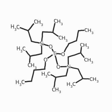 CCCC[O][Ti]([O]CCCC)([O][Si](CC(C)C)(CC(C)C)CC(C)C)[O][Si](CC(C)C)(CC(C)C)CC(C)C